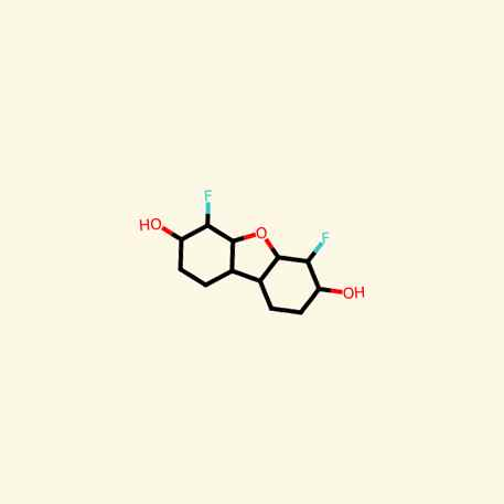 OC1CCC2C3CCC(O)C(F)C3OC2C1F